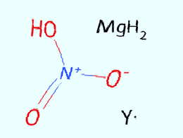 O=[N+]([O-])O.[MgH2].[Y]